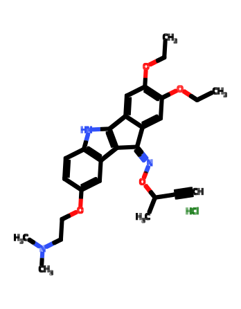 C#CC(C)ON=C1c2cc(OCC)c(OCC)cc2-c2[nH]c3ccc(OCCN(C)C)cc3c21.Cl